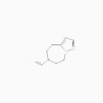 C=CC1CCc2ccnn2CC1